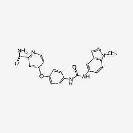 Cn1ncc2cc(NC(=O)Nc3ccc(Oc4ccnc(C(N)=O)c4)cc3)ccc21